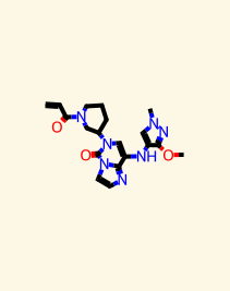 C=CC(=O)N1CCCC(n2cc(Nc3cn(C)nc3OC)c3nccn3c2=O)C1